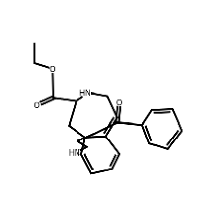 CCOC(=O)C1CC23C(=CCN1)C=CC=C2NCC3C(=O)c1ccccc1